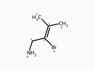 CC(C)=C(Br)CN